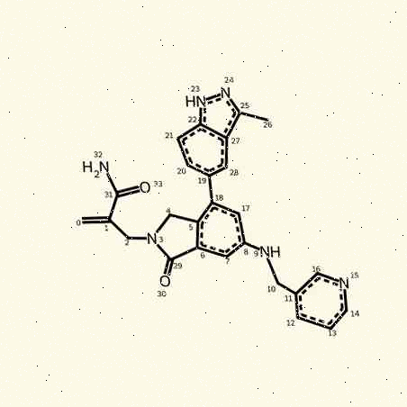 C=C(CN1Cc2c(cc(NCc3cccnc3)cc2-c2ccc3[nH]nc(C)c3c2)C1=O)C(N)=O